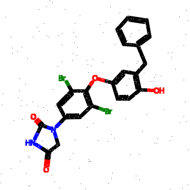 O=C1CN(c2cc(Br)c(Oc3ccc(O)c(Cc4ccccc4)c3)c(Br)c2)C(=O)N1